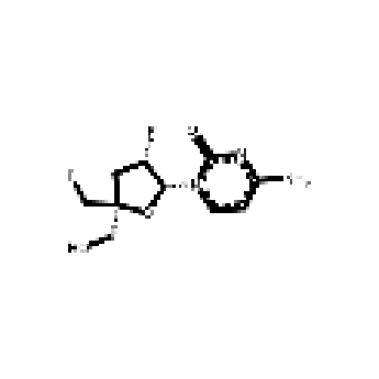 Nc1ccn([C@@H]2O[C@@](CO)(CF)C[C@@H]2F)c(=O)n1